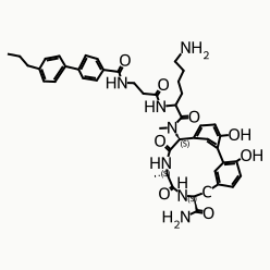 CCCc1ccc(-c2ccc(C(=O)NCCC(=O)NC(CCCCN)C(=O)N(C)[C@@H]3C(=O)N[C@@H](C)C(=O)N[C@H](C(N)=O)Cc4ccc(O)c(c4)-c4cc3ccc4O)cc2)cc1